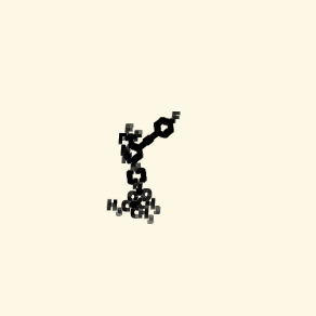 CC(C)(C)OC(=O)N1CCN(c2cc(C#Cc3ccc(F)cc3)c(C(F)(F)F)nn2)CC1